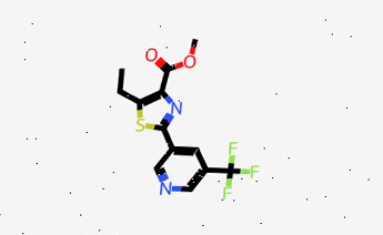 CCc1sc(-c2cncc(C(F)(F)F)c2)nc1C(=O)OC